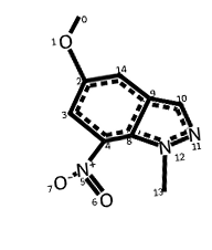 COc1cc([N+](=O)[O-])c2c(cnn2C)c1